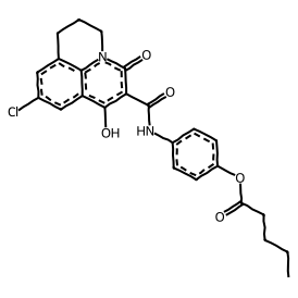 CCCCC(=O)Oc1ccc(NC(=O)c2c(O)c3cc(Cl)cc4c3n(c2=O)CCC4)cc1